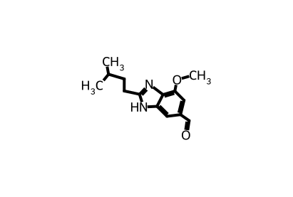 COc1cc(C=O)cc2[nH]c(CCC(C)C)nc12